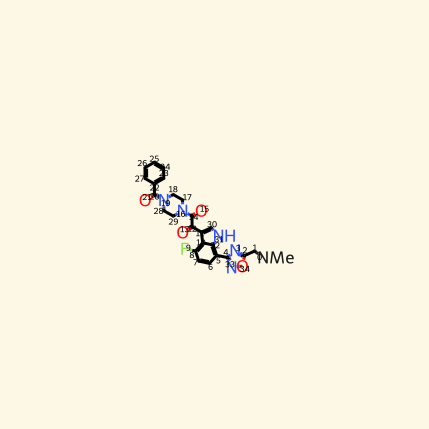 CNCc1nc(-c2ccc(F)c3c(C(=O)C(=O)N4CCN(C(=O)c5ccccc5)CC4)c[nH]c23)no1